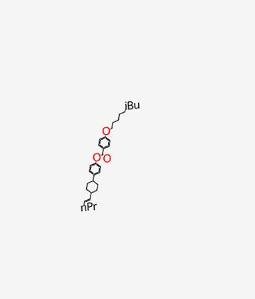 CCC/C=C/C1CCC(c2ccc(OC(=O)c3ccc(OCCCCCC(C)CC)cc3)cc2)CC1